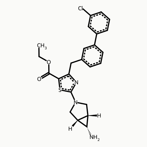 CCOC(=O)c1sc(N2C[C@@H]3[C@H](N)[C@@H]3C2)nc1Cc1cccc(-c2cccc(Cl)c2)c1